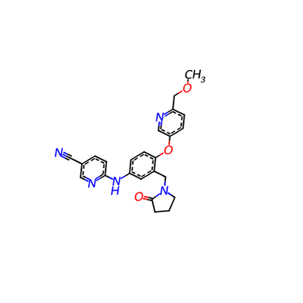 COCc1ccc(Oc2ccc(Nc3ccc(C#N)cn3)cc2CN2CCCC2=O)cn1